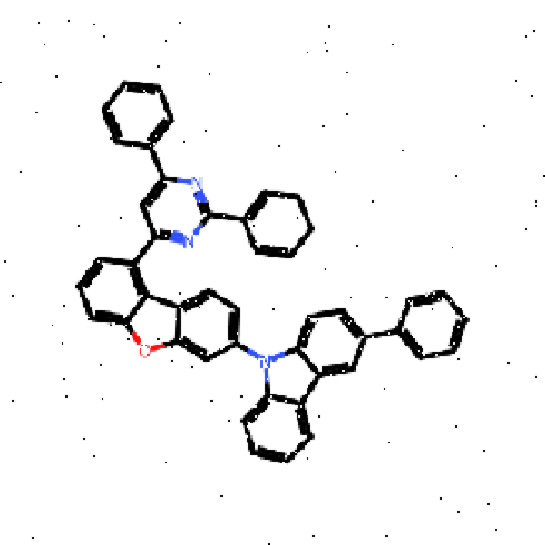 C1=CC(c2nc(-c3ccccc3)cc(-c3cccc4oc5cc(-n6c7ccccc7c7cc(-c8ccccc8)ccc76)ccc5c34)n2)=CCC1